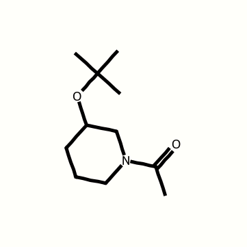 CC(=O)N1CCCC(OC(C)(C)C)C1